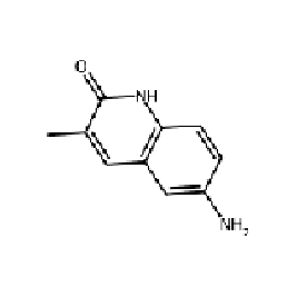 Cc1cc2cc(N)ccc2[nH]c1=O